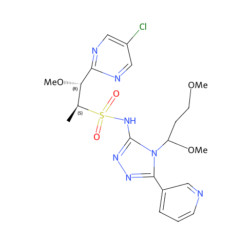 COCCC(OC)n1c(NS(=O)(=O)[C@@H](C)[C@H](OC)c2ncc(Cl)cn2)nnc1-c1cccnc1